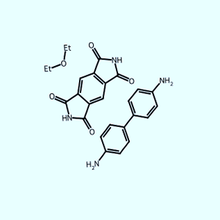 CCOCC.Nc1ccc(-c2ccc(N)cc2)cc1.O=c1[nH]c(=O)c2cc3c(=O)[nH]c(=O)c3cc12